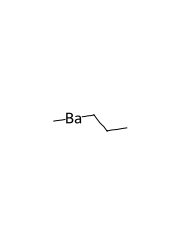 CC[CH2][Ba][CH3]